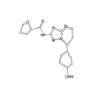 COc1ccc(-c2ccnc3nc(NC(=O)c4ccco4)nn23)cc1